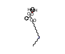 CCCCCC/C=C\CCCCCCCCCC(=O)OCC(C(=O)O[C@H]1C[C@H]2CC[C@@H](C1)N2C)c1ccccc1